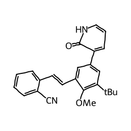 COc1c(C=Cc2ccccc2C#N)cc(-c2ccc[nH]c2=O)cc1C(C)(C)C